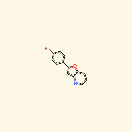 Brc1ccc(-c2cc3ncccc3o2)cc1